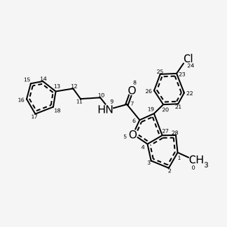 Cc1ccc2oc(C(=O)NCCCc3ccccc3)c(-c3ccc(Cl)cc3)c2c1